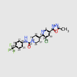 Cc1nnc(-c2cnc(C3=CCN(C(=O)Nc4ccc(C(F)(F)F)cc4)CC3)c(Cl)c2)o1